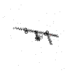 CCCCCCCCCOC(=O)CCCCCCCN(CCCCCCCOC(=O)C(CCCCCCCC)CCCCCCCC)CCCNC(=S)N(C)C